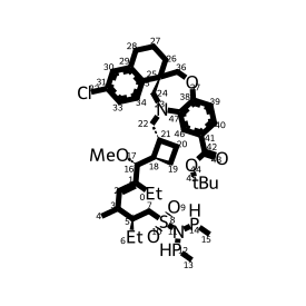 CC/C(=C\C(C)[C@H](CC)CS(=O)(=O)N(PC)PC)[C@H](OC)[C@@H]1CC[C@H]1CN1C[C@@]2(CCCc3cc(Cl)ccc32)COc2ccc(C(=O)OC(C)(C)C)cc21